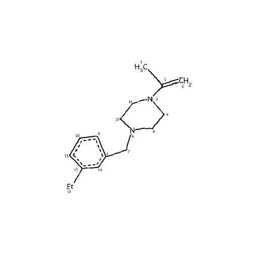 C=C(C)N1CCN(Cc2cccc(CC)c2)CC1